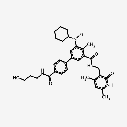 CCN(c1cc(-c2ccc(C(=O)NCCCO)cc2)cc(C(=O)NCc2c(C)cc(C)[nH]c2=O)c1C)C1CCCCC1